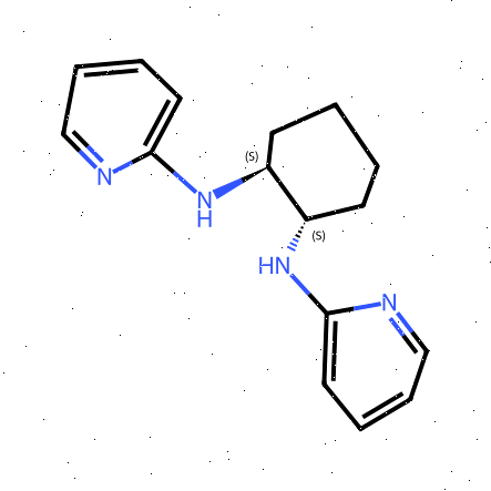 c1ccc(N[C@H]2CCCC[C@@H]2Nc2ccccn2)nc1